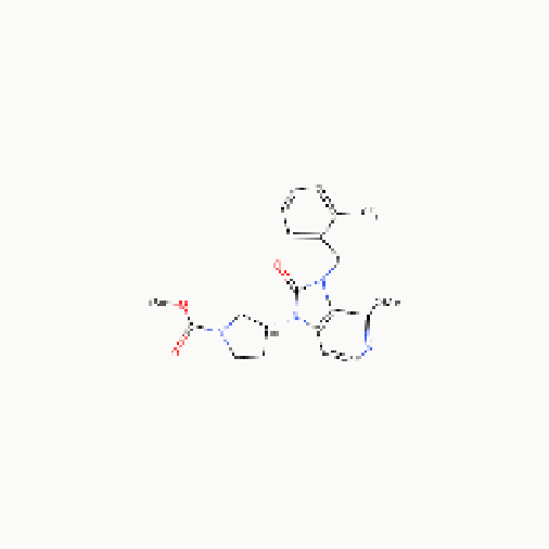 COc1nccc2c1n(Cc1ccccc1C(F)(F)F)c(=O)n2[C@@H]1CCN(C(=O)OC(C)(C)C)C1